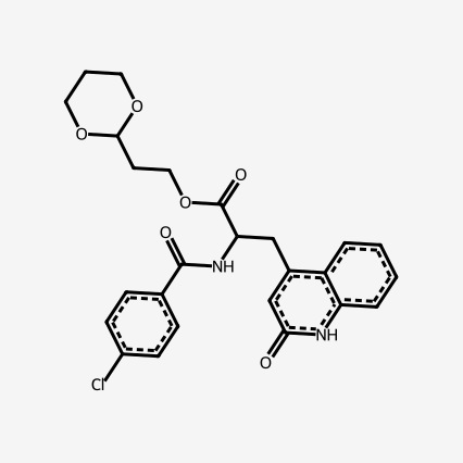 O=C(NC(Cc1cc(=O)[nH]c2ccccc12)C(=O)OCCC1OCCCO1)c1ccc(Cl)cc1